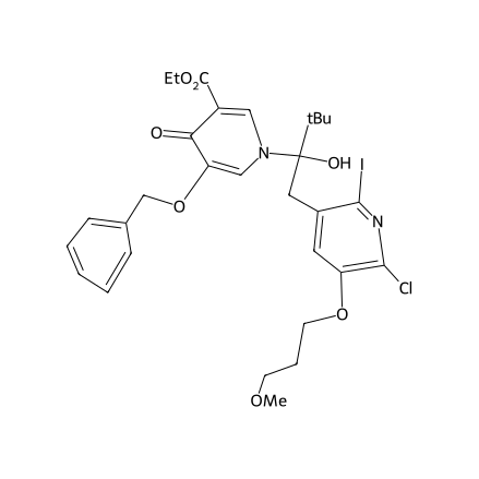 CCOC(=O)c1cn(C(O)(Cc2cc(OCCCOC)c(Cl)nc2I)C(C)(C)C)cc(OCc2ccccc2)c1=O